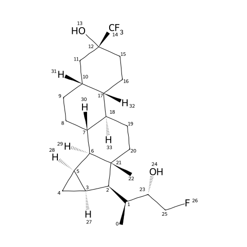 C[C@@H]([C@H]1[C@H]2C[C@H]2[C@H]2[C@@H]3CC[C@@H]4C[C@@](O)(C(F)(F)F)CC[C@@H]4[C@H]3CC[C@@]21C)[C@H](O)CF